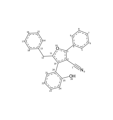 N#Cc1c(-c2ccccc2)oc(Cc2ccccc2)c1-c1ccccc1O